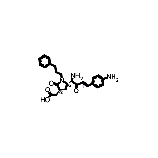 Nc1ccc(/C=C/C(=O)C(N)[C@@H]2C[C@@H](CC(=O)O)C(=O)N2CCCc2ccccc2)cc1